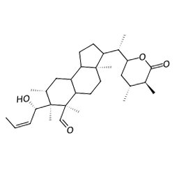 C/C=C\[C@H](O)[C@@]1(C)[C@H](C)CC2C3CCC([C@H](C)C4C[C@@H](C)[C@H](C)C(=O)O4)[C@@]3(C)CCC2[C@@]1(C)C=O